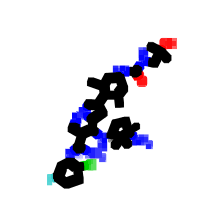 Cc1cc(NC(=O)NCC(C)(C)O)cc(C)c1-c1cc2c(N[C@@H]3CC[C@](C)(N)C3(C)C)c(/C(N)=N/c3cc(F)ccc3Cl)cnn2c1